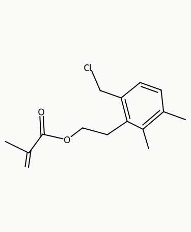 C=C(C)C(=O)OCCc1c(CCl)ccc(C)c1C